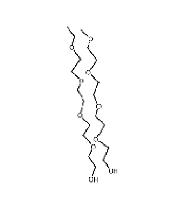 CCOCCOCCOCCOCCO.COCCOCCOCCOCCO